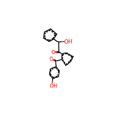 O=C(c1ccc(O)cc1)c1ccccc1C(=O)C(O)c1ccccc1